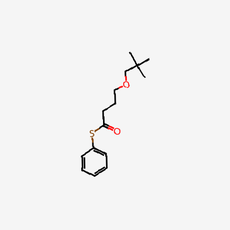 CC(C)(C)COCCCC(=O)Sc1ccccc1